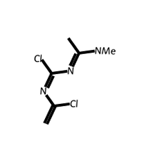 C=C(Cl)/N=C(Cl)\N=C(/C)NC